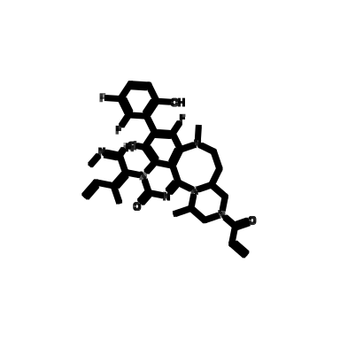 C=CC(=O)N1CC(C)N2c3nc(=O)n(C(/C(=N\C)C(C)C)=C(\C)C=C)c4c(Cl)c(-c5c(O)ccc(F)c5F)c(F)c(c34)N(C)CCC2C1